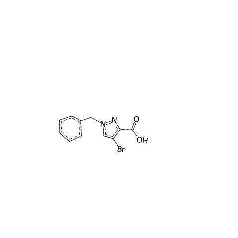 O=C(O)c1nn(Cc2ccccc2)cc1Br